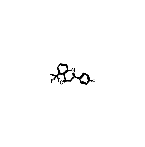 O=C1CC(c2ccc(F)cc2)=Nc2cccc(C(F)(F)F)c21